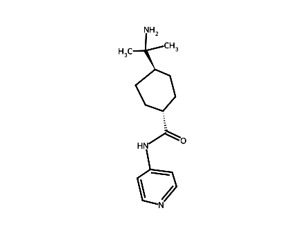 CC(C)(N)[C@H]1CC[C@H](C(=O)Nc2ccncc2)CC1